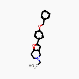 O=C(O)CN1CCc2oc(-c3ccc(OCc4ccccc4)cc3)cc2C1